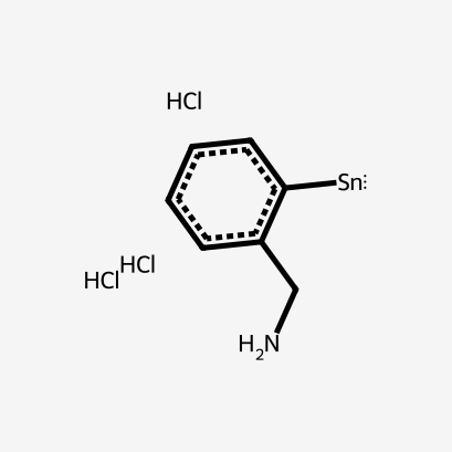 Cl.Cl.Cl.NCc1cccc[c]1[Sn]